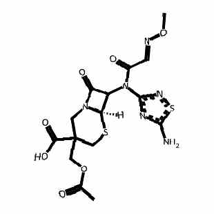 CON=CC(=O)N(c1nsc(N)n1)C1C(=O)N2CC(COC(C)=O)(C(=O)O)CS[C@H]12